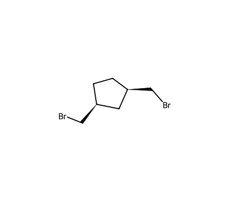 BrC[C@@H]1CC[C@H](CBr)C1